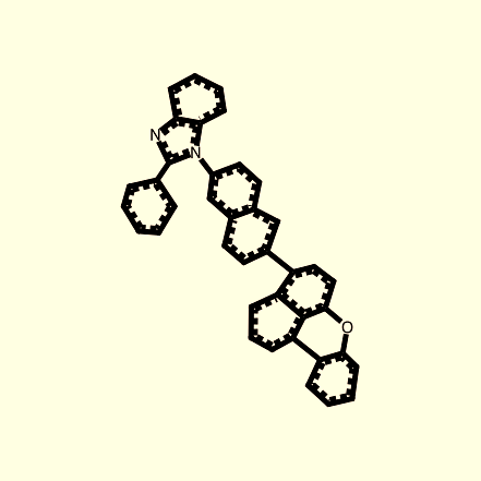 c1ccc(-c2nc3ccccc3n2-c2ccc3cc(-c4ccc5c6c(cccc46)-c4ccccc4O5)ccc3c2)cc1